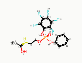 CC(C)(C)C(O)=[SH]CCOP(=O)(Oc1ccccc1)Oc1c(F)c(F)c(F)c(F)c1F